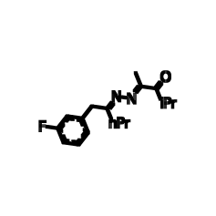 CCC/C(Cc1cccc(F)c1)=N\N=C(/C)C(=O)C(C)C